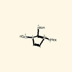 CCCCCCCCCc1n(CCCCCCCC)cc[n+]1CCCCCC